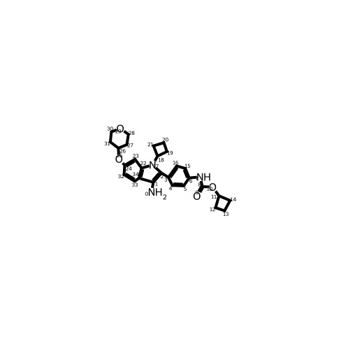 Nc1c(-c2ccc(NC(=O)OC3CCC3)cc2)n(C2CCC2)c2cc(OC3CCOCC3)ccc12